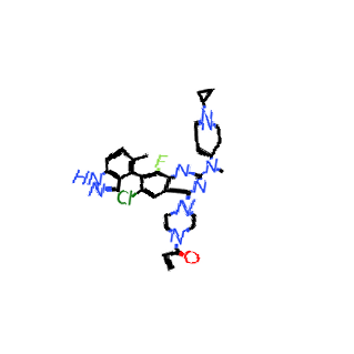 C=CC(=O)N1CCN(c2nc(N(C)C3CCN(C4CC4)CC3)nc3c(F)c(-c4c(C)ccc5[nH]ncc45)c(Cl)cc23)CC1